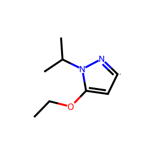 CCOc1c[c]nn1C(C)C